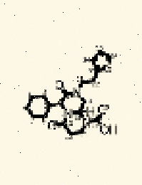 O=C1[C@H](C2CCCCC2)N2C(=O)CCN(C(=O)O)[C@H]2CN1CCc1cccs1